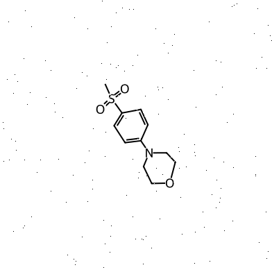 CS(=O)(=O)c1ccc(N2CCOCC2)cc1